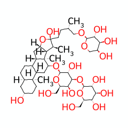 C[C@@H](CC[C@@]1(O)O[C@H]2C[C@H]3[C@@H]4CC[C@@H]5C[C@@H](O)CC[C@]5(C)[C@H]4CC(O[C@@H]4O[C@H](CO)[C@H](O)[C@H](O[C@@H]5O[C@H](CO)[C@@H](O)[C@H](O)[C@H]5O)[C@H]4O)[C@]3(C)[C@H]2[C@@H]1C)CO[C@@H]1OC[C@H](O)[C@H](O)[C@H]1O